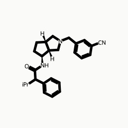 CC(C)C(C(=O)N[C@H]1CC[C@@H]2CN(Cc3cccc(C#N)c3)C[C@@H]21)c1ccccc1